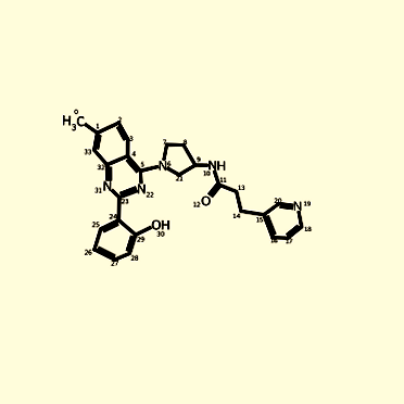 Cc1ccc2c(N3CCC(NC(=O)CCc4cccnc4)C3)nc(-c3ccccc3O)nc2c1